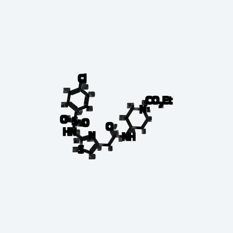 CCOC(=O)N1CCC(NC(=O)Cc2csc(NS(=O)(=O)c3ccc(Cl)cc3)n2)CC1